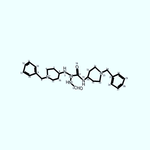 O=CNN(NC1CCN(Cc2ccccc2)CC1)C(=O)NC1CCN(Cc2ccccc2)CC1